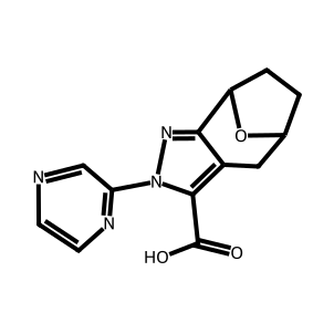 O=C(O)c1c2c(nn1-c1cnccn1)C1CCC(C2)O1